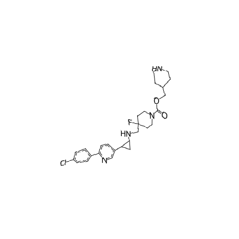 O=C(OCC1CCNCC1)N1CCC(F)(CNC2CC2c2ccc(-c3ccc(Cl)cc3)nc2)CC1